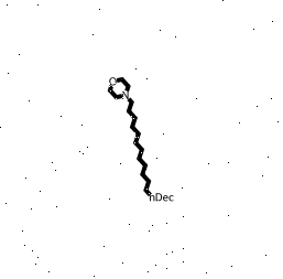 CCCCCCCCCCCCCCCCCCCCCCN1CCOCC1